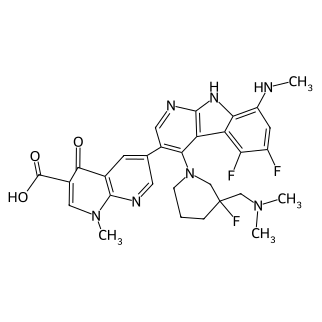 CNc1cc(F)c(F)c2c1[nH]c1ncc(-c3cnc4c(c3)c(=O)c(C(=O)O)cn4C)c(N3CCCC(F)(CN(C)C)C3)c12